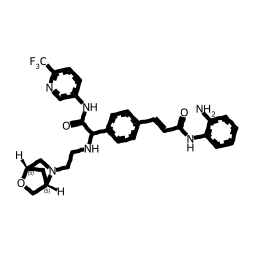 Nc1ccccc1NC(=O)C=Cc1ccc(C(NCCN2C[C@@H]3C[C@H]2CO3)C(=O)Nc2ccc(C(F)(F)F)nc2)cc1